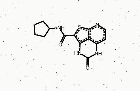 O=C1Nc2ccnc3sc(C(=O)NC4CCCC4)c(c23)N1